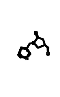 O=CC1CC(=O)N(Cc2cc#cnc2)C1